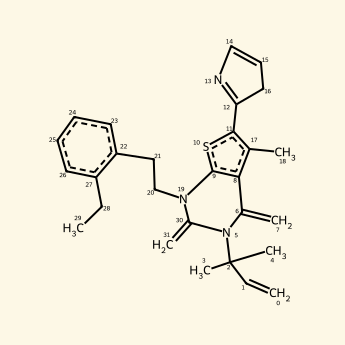 C=CC(C)(C)N1C(=C)c2c(sc(C3=NC=CC3)c2C)N(CCc2ccccc2CC)C1=C